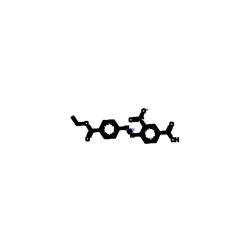 CCOC(=O)c1ccc(/N=N/c2ccc(C(=O)O)cc2[N+](=O)[O-])cc1